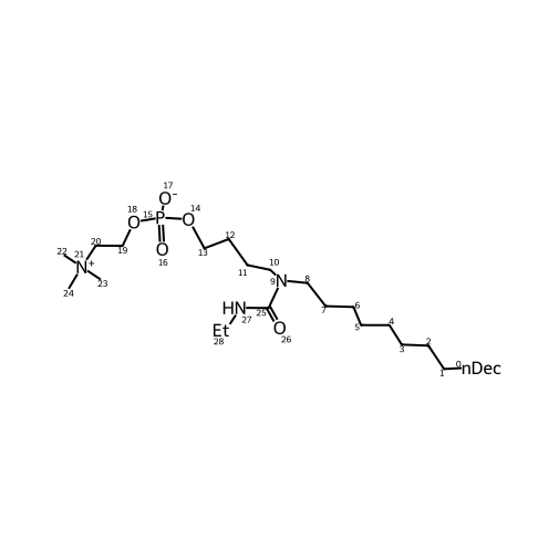 CCCCCCCCCCCCCCCCCCN(CCCCOP(=O)([O-])OCC[N+](C)(C)C)C(=O)NCC